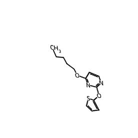 CCCCCOc1ccnc(Oc2cccs2)n1